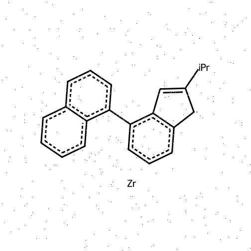 CC(C)C1=Cc2c(cccc2-c2cccc3ccccc23)[CH]1.[Zr]